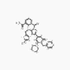 NC(=O)c1cccc(C(=O)n2nc(-c3cc(N4CCOCC4)n(Cc4ccncn4)c(=O)c3)cc2NCc2ccc(Cl)s2)c1